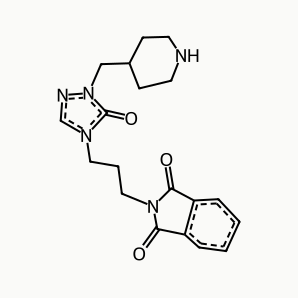 O=C1c2ccccc2C(=O)N1CCCn1cnn(CC2CCNCC2)c1=O